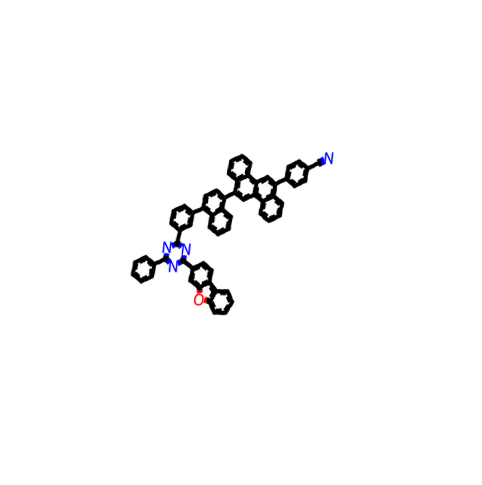 N#Cc1ccc(-c2cc3c4ccccc4c(-c4ccc(-c5cccc(-c6nc(-c7ccccc7)nc(-c7ccc8c(c7)oc7ccccc78)n6)c5)c5ccccc45)cc3c3ccccc23)cc1